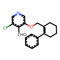 O=Cc1c(Cl)cncc1OCC1=C(c2ccccc2)CCCC1